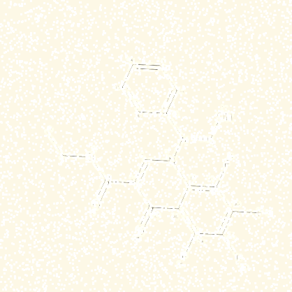 CCOC(=O)c1cn([C@@H](CO)c2ccccc2)c2c(F)c(F)c(F)c(F)c2c1=O